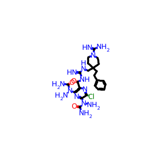 N=C(NCC1(CCc2ccccc2)CCN(C(=N)N)CC1)NC(=O)c1nc(Cl)c(N(N)C(N)=O)nc1N(N)C(N)=O